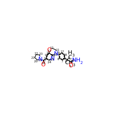 CC(C)(C(N)=O)c1ccc(N2CCOc3cc(C(=O)N4CCCC4)cnc32)cc1